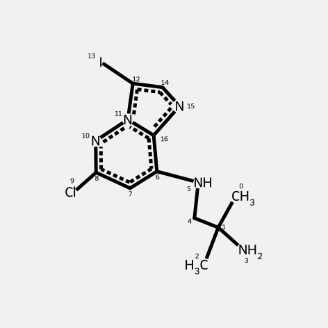 CC(C)(N)CNc1cc(Cl)nn2c(I)cnc12